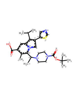 Cc1c(C(=O)O)cc2c(C(C)C)c(-c3cncs3)cn2c1C(C)N1CCN(C(=O)OC(C)(C)C)CC1